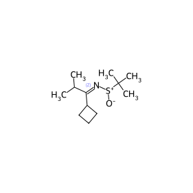 CC(C)/C(=N/[S+]([O-])C(C)(C)C)C1CCC1